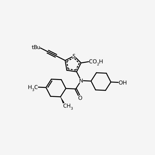 CC1=CCC(C(=O)N(c2cc(C#CC(C)(C)C)sc2C(=O)O)C2CCC(O)CC2)[C@@H](C)C1